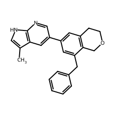 Cc1c[nH]c2ncc(-c3cc4c(c(Cc5ccccc5)c3)COCC4)cc12